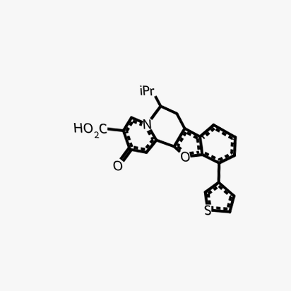 CC(C)C1Cc2c(oc3c(-c4ccsc4)cccc23)-c2cc(=O)c(C(=O)O)cn21